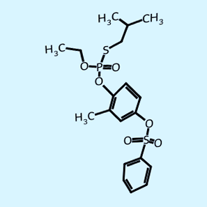 CCOP(=O)(Oc1ccc(OS(=O)(=O)c2ccccc2)cc1C)SCC(C)C